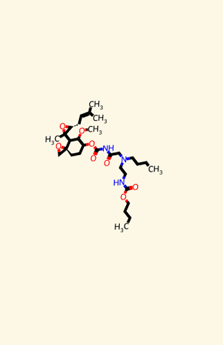 CCCCOC(=O)NCCN(CCCC)CC(=O)NC(=O)OC1CC[C@]2(CO2)C(C2(C)O[C@@H]2CC=C(C)C)C1OC